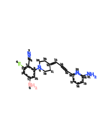 Bc1cc(F)c(C#N)c(N2CCC(=CC#Cc3cccc(N)n3)CC2)c1